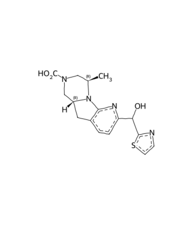 C[C@@H]1CN(C(=O)O)C[C@H]2Cc3ccc(C(O)c4nccs4)nc3N21